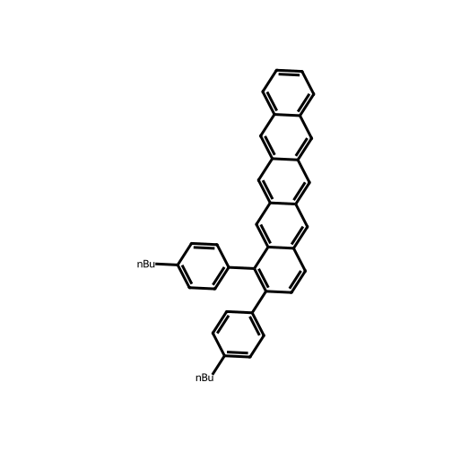 CCCCc1ccc(-c2ccc3cc4cc5cc6ccccc6cc5cc4cc3c2-c2ccc(CCCC)cc2)cc1